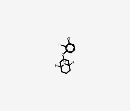 Clc1cccc(O[C@@H]2C[C@H]3CCC[C@@H](C2)N3)c1Cl